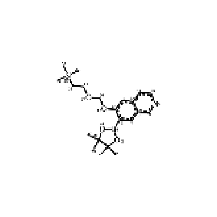 CC1(C)OB(c2cc3cnccc3cc2OCOCC[Si](C)(C)C)OC1(C)C